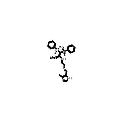 CNC(NCCSCc1[nH]cnc1C)=C(S(=O)(=O)c1ccccc1)S(=O)(=O)c1ccccc1